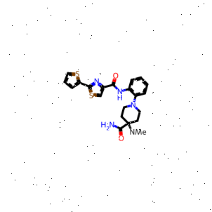 CNC1(C(N)=O)CCN(c2ccccc2NC(=O)c2csc(-c3cccs3)n2)CC1